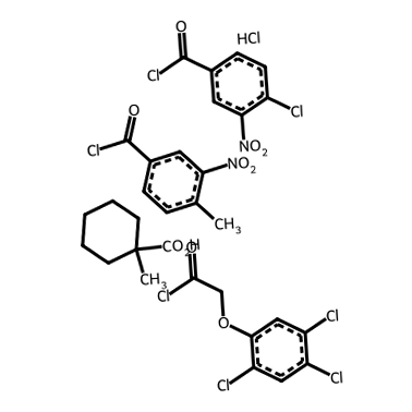 CC1(C(=O)O)CCCCC1.Cc1ccc(C(=O)Cl)cc1[N+](=O)[O-].Cl.O=C(Cl)COc1cc(Cl)c(Cl)cc1Cl.O=C(Cl)c1ccc(Cl)c([N+](=O)[O-])c1